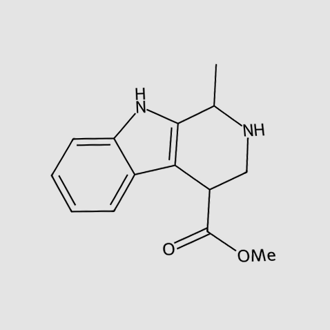 COC(=O)C1CNC(C)c2[nH]c3ccccc3c21